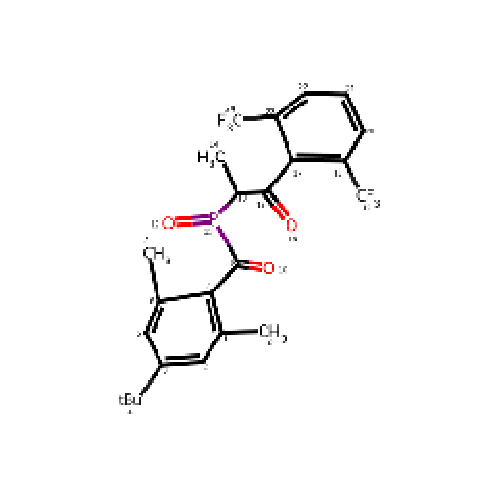 Cc1cc(C(C)(C)C)cc(C)c1C(=O)[P](=O)C(C)C(=O)c1c(C(F)(F)F)cccc1C(F)(F)F